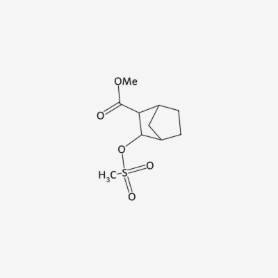 COC(=O)C1C2CCC(C2)C1OS(C)(=O)=O